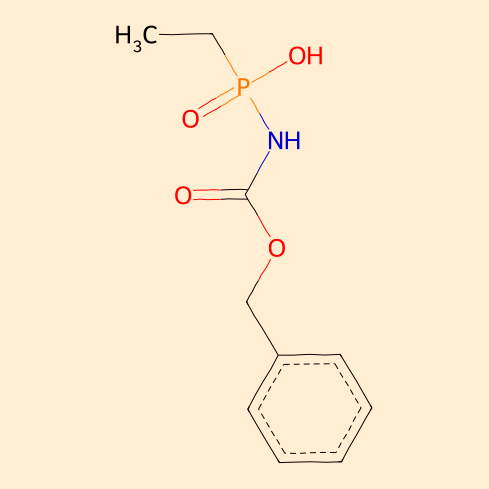 CCP(=O)(O)NC(=O)OCc1ccccc1